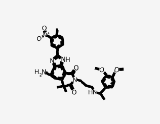 COc1ccc(C(C)NCCCN2C(=O)c3c(cc(N)c4nc(-c5ccc(C)c([N+](=O)[O-])c5)[nH]c34)C(C)(C)C2=O)cc1OC